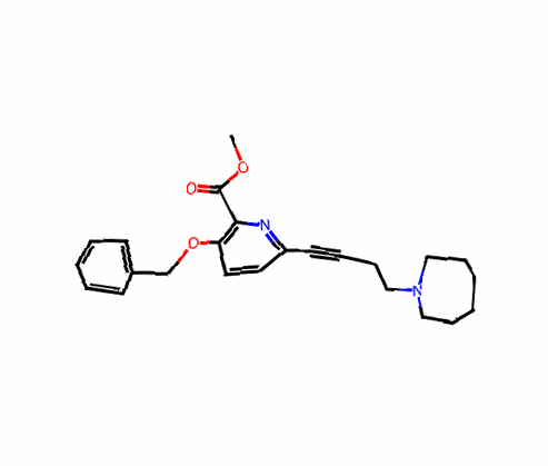 COC(=O)c1nc(C#CCCN2CCCCCC2)ccc1OCc1ccccc1